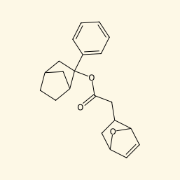 O=C(CC1CC2C=CC1O2)OC1(c2ccccc2)CC2CCC1C2